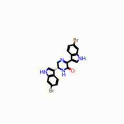 O=C1N[C@H](c2c[nH]c3cc(Br)ccc23)CN=C1c1c[nH]c2cc(Br)ccc12